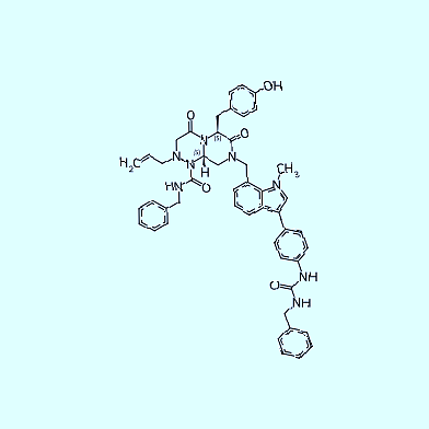 C=CCN1CC(=O)N2[C@@H](Cc3ccc(O)cc3)C(=O)N(Cc3cccc4c(-c5ccc(NC(=O)NCc6ccccc6)cc5)cn(C)c34)C[C@@H]2N1C(=O)NCc1ccccc1